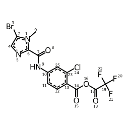 Cn1c(Br)cnc1C(=O)Nc1ccc(C(=O)OC(=O)C(F)(F)F)c(Cl)c1